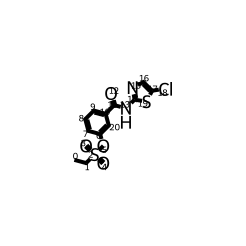 CCS(=O)(=O)Oc1cccc(C(=O)Nc2ncc(Cl)s2)c1